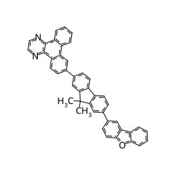 CC1(C)c2cc(-c3ccc4oc5ccccc5c4c3)ccc2-c2ccc(-c3ccc4c(c3)c3ccccc3c3nccnc43)cc21